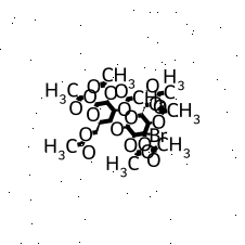 CC(=O)OC[C@H]1O[C@@H](OC(C)=O)[C@H](OC(C)=O)[C@@H](OC(C)=O)[C@@H]1O[C@H]1O[C@H](COC(C)=O)[C@@H](OC(C)=O)[C@](Br)(OC(C)=O)[C@H]1OC(C)=O